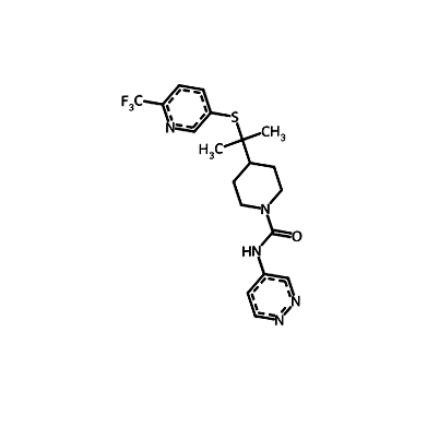 CC(C)(Sc1ccc(C(F)(F)F)nc1)C1CCN(C(=O)Nc2ccnnc2)CC1